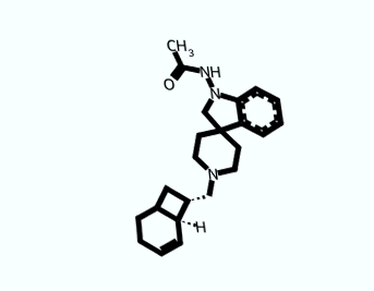 CC(=O)NN1CC2(CCN(C[C@H]3CC4CCC=C[C@@H]43)CC2)c2ccccc21